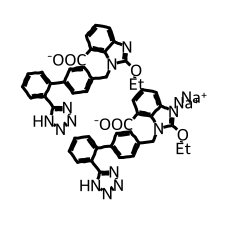 CCOc1nc2cccc(C(=O)[O-])c2n1Cc1ccc(-c2ccccc2-c2nnn[nH]2)cc1.CCOc1nc2cccc(C(=O)[O-])c2n1Cc1ccc(-c2ccccc2-c2nnn[nH]2)cc1.[Na+].[Na+]